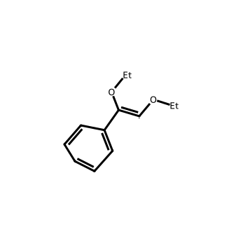 CCO[C]=C(OCC)c1ccccc1